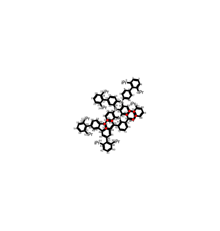 CC(C)c1cccc(C(C)C)c1-c1ccc(N2c3ccc(-c4c(C(C)C)cccc4C(C)C)cc3B3c4ccc(-n5c6ccc(-c7c(C(C)C)cccc7C(C)C)cc6c6cc(-c7c(C(C)C)cccc7C(C)C)ccc65)cc4N(c4c(-c5ccccc5)cccc4-c4ccccc4)c4cc(-c5c(C(C)C)cccc5C(C)C)cc2c43)cc1